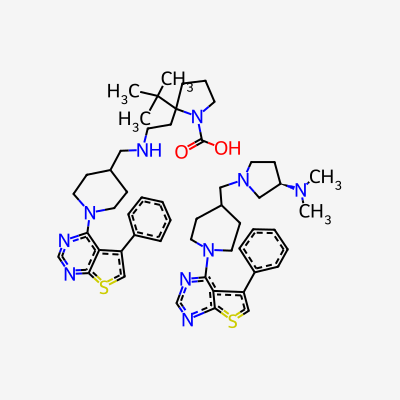 CC(C)(C)C1(CCNCC2CCN(c3ncnc4scc(-c5ccccc5)c34)CC2)CCCN1C(=O)O.CN(C)[C@@H]1CCN(CC2CCN(c3ncnc4scc(-c5ccccc5)c34)CC2)C1